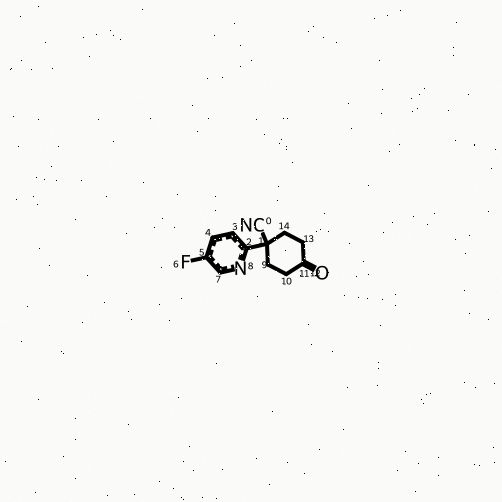 N#CC1(c2ccc(F)cn2)CCC(=O)CC1